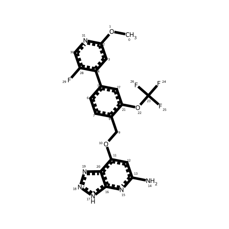 COc1cc(-c2ccc(COc3cc(N)nc4[nH]nnc34)c(OC(F)(F)F)c2)c(F)cn1